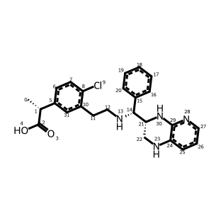 C[C@@H](C(=O)O)c1ccc(Cl)c(CCN[C@H](c2ccccc2)[C@H]2CNc3cccnc3N2)c1